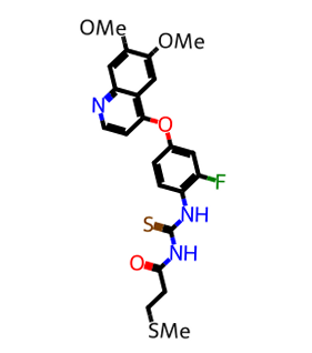 COc1cc2nccc(Oc3ccc(NC(=S)NC(=O)CCSC)c(F)c3)c2cc1OC